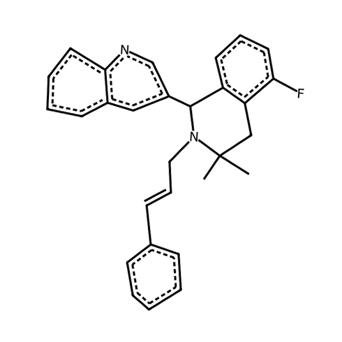 CC1(C)Cc2c(F)cccc2C(c2cnc3ccccc3c2)N1CC=Cc1ccccc1